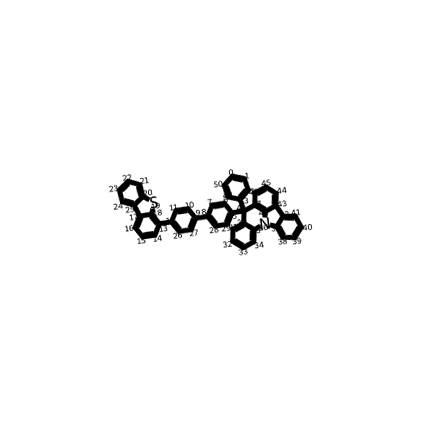 c1ccc(C2(c3ccc(-c4ccc(-c5cccc6c5sc5ccccc56)cc4)cc3)c3ccccc3-n3c4ccccc4c4cccc2c43)cc1